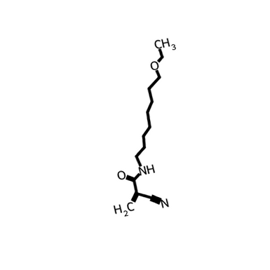 C=C(C#N)C(=O)NCCCCCCCCOCC